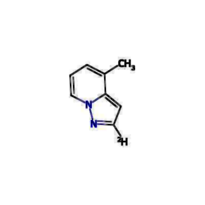 [2H]c1cc2c(C)cccn2n1